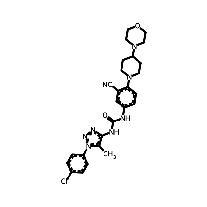 Cc1c(NC(=O)Nc2ccc(N3CCC(N4CCOCC4)CC3)c(C#N)c2)nnn1-c1ccc(Cl)cc1